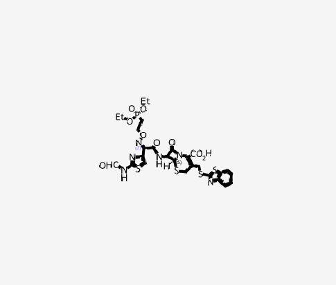 CCOP(=O)(CCO/N=C(\C(=O)NC1C(=O)N2C(C(=O)O)=C(CSc3nc4ccccc4s3)CS[C@@H]12)c1csc(NC=O)n1)OCC